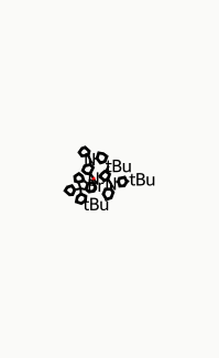 CC(C)(C)c1ccc(N(c2ccc(C(C)(C)C)cc2)c2cc(C(C)(C)C)cc(N(c3cccc(N(c4ccccc4)c4ccccc4)c3)c3cccc4c3-c3ccccc3C4(c3ccccc3)c3ccccc3)c2Br)cc1